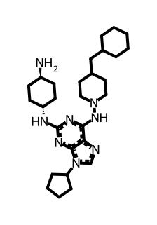 N[C@H]1CC[C@H](Nc2nc(NN3CCC(CC4CCCCC4)CC3)c3ncn(C4CCCC4)c3n2)CC1